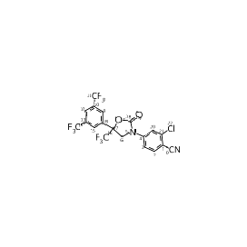 N#Cc1ccc(N2CC(c3cc(C(F)(F)F)cc(C(F)(F)F)c3)(C(F)(F)F)OC2=O)cc1Cl